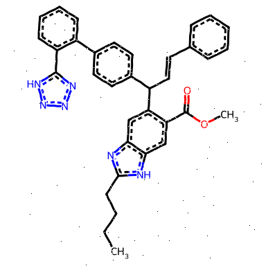 CCCCc1nc2cc(C(C=Cc3ccccc3)c3ccc(-c4ccccc4-c4nnn[nH]4)cc3)c(C(=O)OC)cc2[nH]1